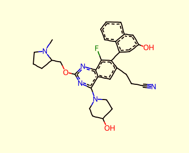 CN1CCCC1COc1nc(N2CCC(O)CC2)c2cc(CCC#N)c(-c3cc(O)cc4ccccc34)c(F)c2n1